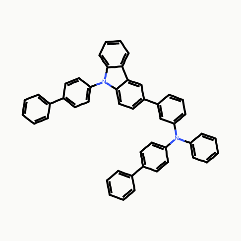 c1ccc(-c2ccc(N(c3ccccc3)c3cccc(-c4ccc5c(c4)c4ccccc4n5-c4ccc(-c5ccccc5)cc4)c3)cc2)cc1